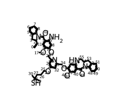 C=CC1Cc2ccccc2N1C(=O)c1cc(OC)c(OCc2cc(OCCCC(C)(C)S)cc(COc3cc4c(cc3OC)C(=O)N3c5ccccc5CC3CN4)n2)cc1N